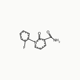 NC(=O)c1cccn(-c2ccccc2F)c1=O